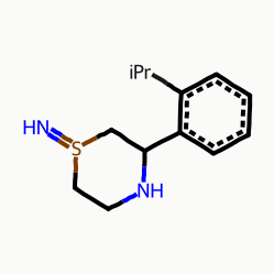 CC(C)c1ccccc1C1CS(=N)CCN1